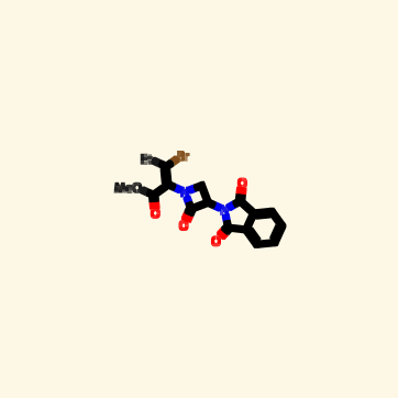 CCC(Br)=C(C(=O)OC)N1CC(N2C(=O)c3ccccc3C2=O)C1=O